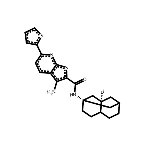 Nc1c(C(=O)N[C@]23CCC4CCC(C[C@@H]4C2)C3)sc2nc(-c3cccs3)ccc12